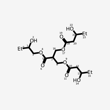 CCC(O)COC(=O)C(COC(=O)CC(O)CC)COC(=O)CC(O)CC